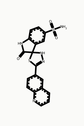 NS(=O)(=O)c1ccc2c(c1)C1(NN=C(c3ccc4ncccc4c3)S1)C(=O)N2